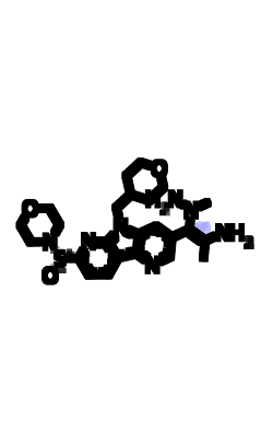 C/C(N)=C(\c1cnc2c3ccc([S+]([O-])N4CCOCC4)nc3n(CC3CCOCC3)c2c1)N(C)N